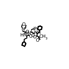 CC(C)C[C@H](NC(=O)C(CCc1ccccc1)NC(=O)CN1CCOCC1)C(=O)NC(Cc1ccccc1)C(=O)C1(C)CO1